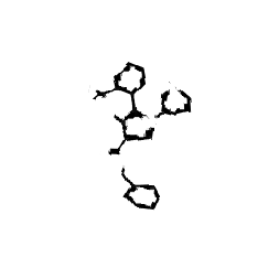 Cc1c(C(=O)OCc2ccccc2)cn(-c2cccnc2)c1-c1ccccc1C(F)(F)F